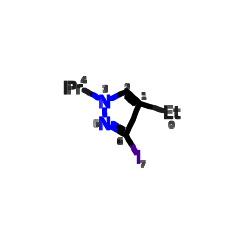 [CH2]Cc1cn(C(C)C)nc1I